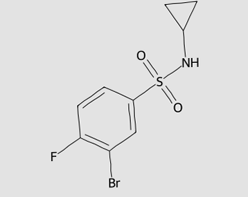 O=S(=O)(NC1CC1)c1ccc(F)c(Br)c1